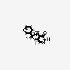 [2H]C([2H])(Nc1cn[nH]c(=O)c1Cl)C1CCCOC1